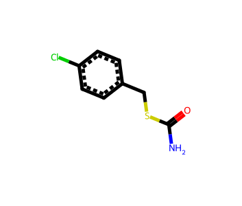 NC(=O)SCc1ccc(Cl)cc1